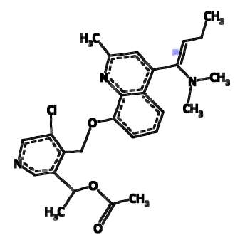 CC/C=C(/c1cc(C)nc2c(OCc3c(Cl)cncc3C(C)OC(C)=O)cccc12)N(C)C